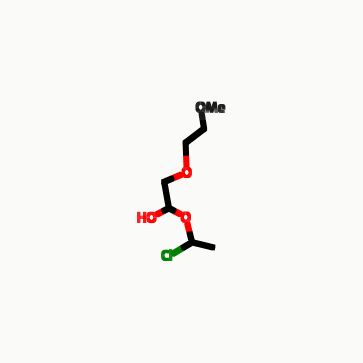 COCCOCC(O)OC(C)Cl